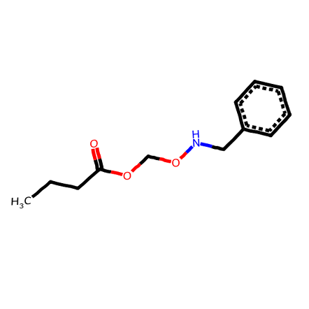 CCCC(=O)OCONCc1ccccc1